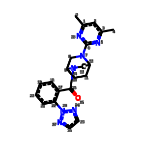 Cc1cc(C)nc(N2CC3CCC2CN3C(=O)c2ccccc2-n2nccn2)n1